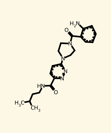 CC(C)CCNC(=O)c1ccc(N2CCN(C(=O)c3ccccc3N)CC2)nn1